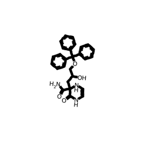 NC(=O)C1(CC(O)COC(c2ccccc2)(c2ccccc2)c2ccccc2)NC=CNC1=O